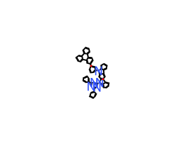 c1ccc(-c2nc(-c3ccccc3)nc(-n3c4ccccc4c4cc5c6ccccc6n(-c6cccc(-c7ccc8c9ccccc9c9ccccc9c8c7)c6)c5cc43)n2)cc1